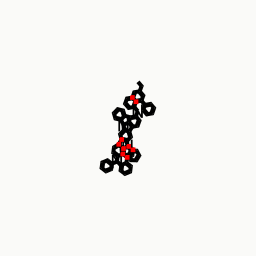 CCc1cccc(-c2ccccc2N(c2ccccc2)c2ccc3c4cc5c(cc4n4c6ccccc6c2c34)c2ccc(N(c3ccccc3)c3ccccc3-c3cccc(CC)c3)c3c4ccccc4n5c23)c1